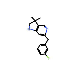 CC1(C)CNc2cc(Cc3cccc(F)c3)ncc21